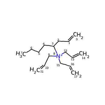 C=CCC(CCCC)[N+](CC=C)(CC=C)CC=C